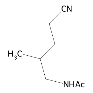 CC(=O)NCC(C)CCC#N